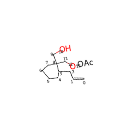 C=CCC1CCCCC1(CO)COOC(C)=O